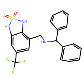 O=S1(=O)Nc2cc(C(F)(F)F)cc(CNC(c3ccccc3)c3ccccc3)c2N1